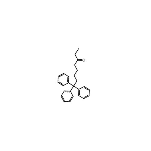 O=C(CI)CCCCC(c1ccccc1)(c1ccccc1)c1ccccc1